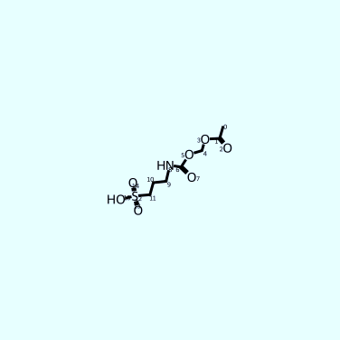 CC(=O)OCOC(=O)NCCCS(=O)(=O)O